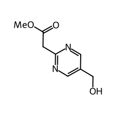 COC(=O)Cc1ncc(CO)cn1